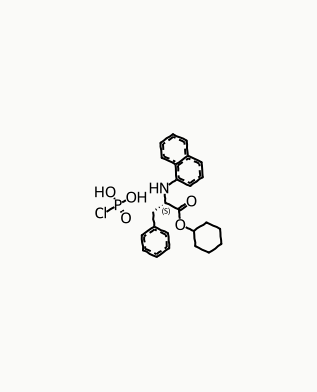 O=C(OC1CCCCC1)[C@H](Cc1ccccc1)Nc1cccc2ccccc12.O=P(O)(O)Cl